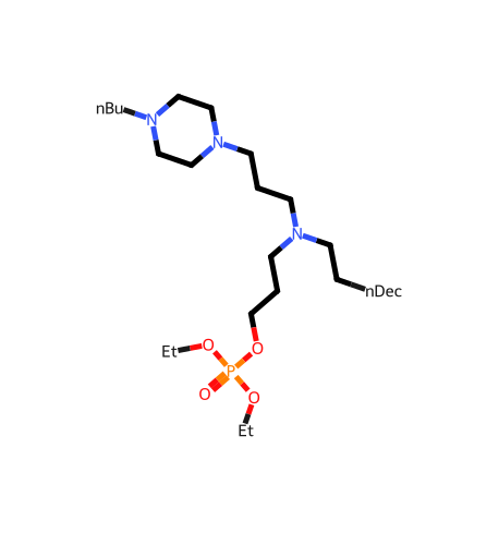 CCCCCCCCCCCCN(CCCOP(=O)(OCC)OCC)CCCN1CCN(CCCC)CC1